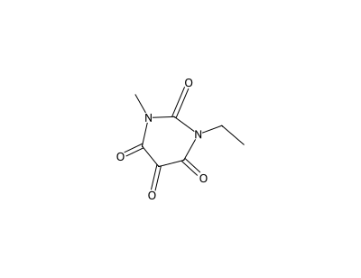 CCN1C(=O)C(=O)C(=O)N(C)C1=O